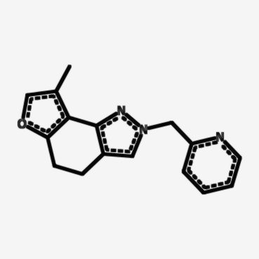 Cc1coc2c1-c1nn(Cc3ccccn3)cc1CC2